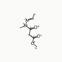 CC=NN(C)C(=O)CC(=O)OC